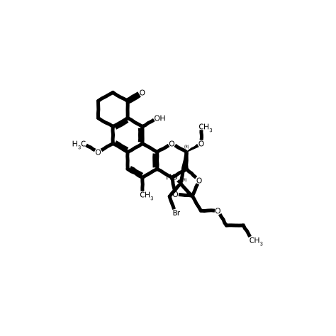 CCCOCC12OC3c4c(C)cc5c(OC)c6c(c(O)c5c4O[C@](OC)(C3O1)[C@@]2(O)CBr)C(=O)CCC6